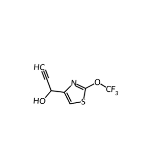 C#CC(O)c1csc(OC(F)(F)F)n1